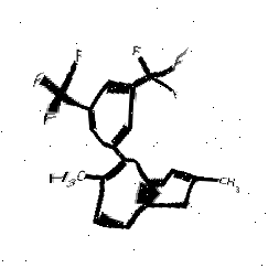 CC1=Cc2c(ccc(C)c2-c2cc(C(F)(F)F)cc(C(F)(F)F)c2)[CH]1